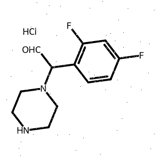 Cl.O=CC(c1ccc(F)cc1F)N1CCNCC1